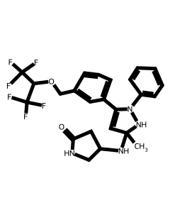 CC1(NC2CNC(=O)C2)C=C(c2cccc(COC(C(F)(F)F)C(F)(F)F)c2)N(c2ccccc2)N1